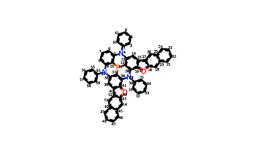 c1ccc(N2c3cccc4c3P3c5c2cc2c(oc6cc7ccccc7cc62)c5N(c2ccccc2)c2c3c(cc3c2oc2cc5ccccc5cc23)N4c2ccccc2)cc1